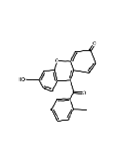 Cc1ccccc1C(=O)c1c2ccc(=O)cc-2oc2cc(O)ccc12